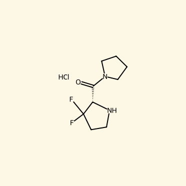 Cl.O=C([C@@H]1NCCC1(F)F)N1CCCC1